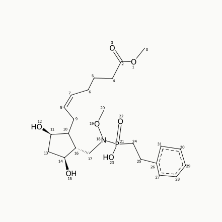 COC(=O)CCC/C=C\CC1[C@H](O)C[C@H](O)[C@H]1CN(OC)P(=O)(O)CCc1ccccc1